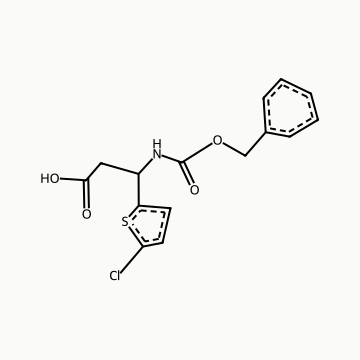 O=C(O)CC(NC(=O)OCc1ccccc1)c1ccc(Cl)s1